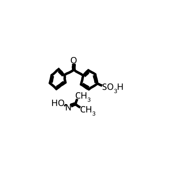 CC(C)=NO.O=C(c1ccccc1)c1ccc(S(=O)(=O)O)cc1